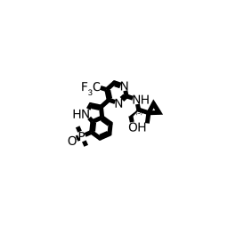 CC1([C@@H](CO)Nc2ncc(C(F)(F)F)c(-c3c[nH]c4c(P(C)(C)=O)cccc34)n2)CC1